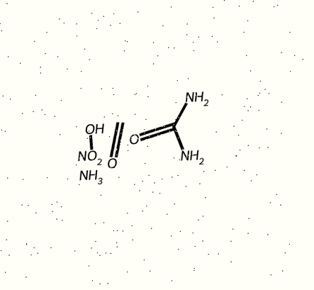 C=O.N.NC(N)=O.O=[N+]([O-])O